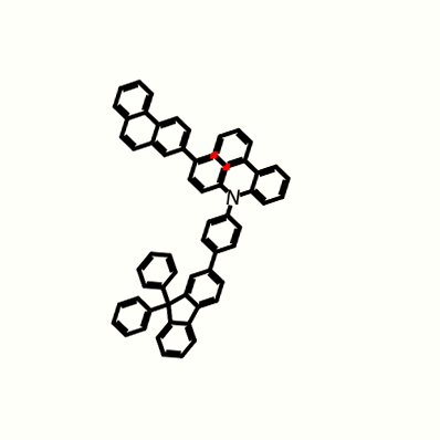 c1ccc(-c2ccccc2N(c2ccc(-c3ccc4c(c3)C(c3ccccc3)(c3ccccc3)c3ccccc3-4)cc2)c2ccc(-c3ccc4c(ccc5ccccc54)c3)cc2)cc1